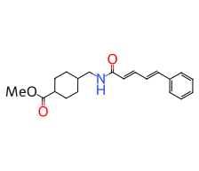 COC(=O)C1CCC(CNC(=O)/C=C/C=C/c2ccccc2)CC1